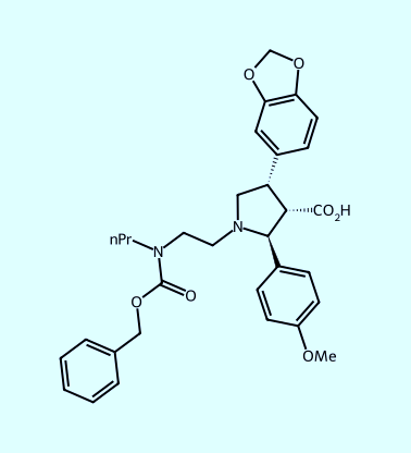 CCCN(CCN1C[C@H](c2ccc3c(c2)OCO3)[C@H](C(=O)O)[C@H]1c1ccc(OC)cc1)C(=O)OCc1ccccc1